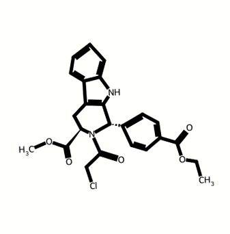 CCOC(=O)c1ccc([C@H]2c3[nH]c4ccccc4c3C[C@H](C(=O)OC)N2C(=O)CCl)cc1